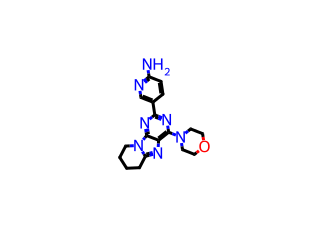 Nc1ccc(-c2nc(N3CCOCC3)c3nc4n(c3n2)CCCC4)cn1